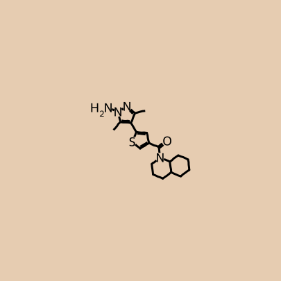 Cc1nn(N)c(C)c1-c1cc(C(=O)N2CCCC3CCCCC32)cs1